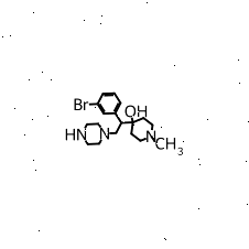 CN1CCC(O)(C(CN2CCNCC2)c2cccc(Br)c2)CC1